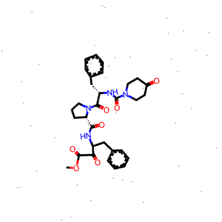 COC(=O)C(=O)C(Cc1ccccc1)NC(=O)[C@@H]1CCCN1C(=O)[C@H](Cc1ccccc1)NC(=O)N1CCC(=O)CC1